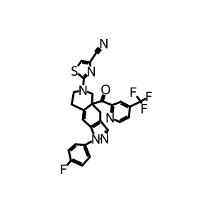 N#Cc1csc(N2CCC3=Cc4c(cnn4-c4ccc(F)cc4)CC3(C(=O)c3cc(C(F)(F)F)ccn3)C2)n1